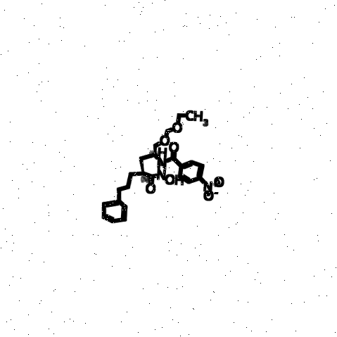 CCOCOC[C@H](C[C@H](CCCc1ccccc1)C(=O)NO)NC(=O)c1ccc([N+](=O)[O-])cc1